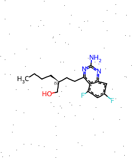 CCCC[C@H](CO)CCc1nc(N)nc2cc(F)cc(F)c12